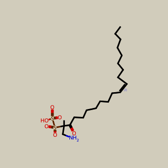 CCCCCCCC/C=C\CCCCCCCC(=O)C(C)(CN)S(=O)(=O)S(=O)(=O)O